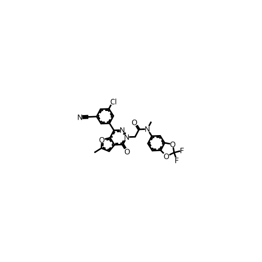 Cc1cc2c(=O)n(CC(=O)N(C)c3ccc4c(c3)OC(F)(F)O4)nc(-c3cc(Cl)cc(C#N)c3)c2o1